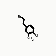 O=[N+]([O-])c1cc(CCBr)ccc1Cl